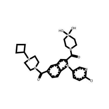 O=C(c1ccc2c(c1)cc(C(=O)N1CCS(O)(O)CC1)n2-c1ccc(Cl)nc1)N1CCN(C2CCC2)CC1